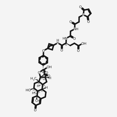 C[C@]12C=CC(=O)C=C1CC[C@@H]1[C@@H]2[C@@H](O)C[C@@]2(C)[C@H]1C[C@H]1O[C@@H](c3ccc(OC45CC(NC(=O)[C@H](CCC(=O)O)NC(=O)CNC(=O)CCN6C(=O)C=CC6=O)(C4)C5)cc3)O[C@]12C(=O)CO